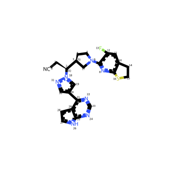 N#CC[C@@H]([C@H]1CCN(c2nc3c(cc2F)CCS3)C1)n1cc(-c2ncnc3[nH]ccc23)cn1